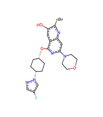 CCCCc1nc2cc(N3CCOCC3)nc(O[C@H]3CC[C@@H](n4cc(F)cn4)CC3)c2cc1O